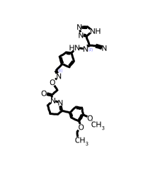 CCOc1cc(C2=NN(C(=O)CO/N=C/c3ccc(N/N=C(/C#N)c4nnc[nH]4)cc3)CCC2)ccc1OC